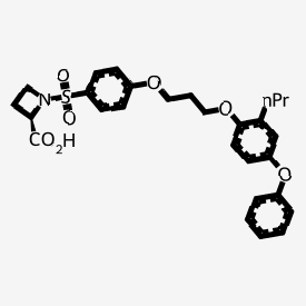 CCCc1cc(Oc2ccccc2)ccc1OCCCOc1ccc(S(=O)(=O)N2CC[C@@H]2C(=O)O)cc1